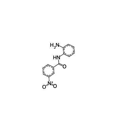 Nc1ccccc1NC(=O)c1cccc([N+](=O)[O-])c1